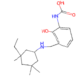 CCC1(C)CC(NCc2cccc(NC(=O)O)c2O)CC(C)(C)C1